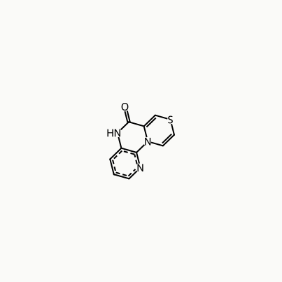 O=C1Nc2cccnc2N2C=CSC=C12